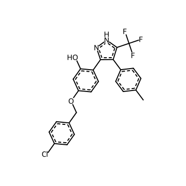 Cc1ccc(-c2c(-c3ccc(OCc4ccc(Cl)cc4)cc3O)n[nH]c2C(F)(F)F)cc1